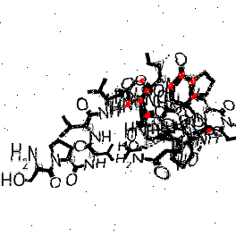 CC[C@H](C)[C@H](NC(=O)[C@@H]1CCCN1C(=O)CNC(=O)[C@@H]1CCCN1C(=O)[C@H](CC(C)C)NC(=O)[C@@H](NC(=O)[C@@H](NC(=O)[C@@H](NC(=O)[C@@H](NC(=O)[C@@H]1CCCN1C(=O)[C@@H](N)CO)C(C)C)C(C)C)C(C)C)[C@@H](C)O)C(=O)N[C@@H](CC(C)C)C(=O)N[C@@H](CO)C(=O)N[C@@H](CO)C(=O)N[C@@H](Cc1ccccc1)C(=O)N1CCC[C@H]1C(=O)N[C@@H](CCC(N)=O)C(=O)N[C@@H](CC(N)=O)C(=O)O